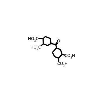 O=C(C1CCC(C(=O)O)C(C(=O)O)C1)C1CCC(C(=O)O)C(C(=O)O)C1